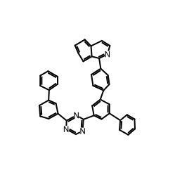 c1ccc(-c2cccc(-c3ncnc(-c4cc(-c5ccccc5)cc(-c5ccc(-c6nccc7ccccc67)cc5)c4)n3)c2)cc1